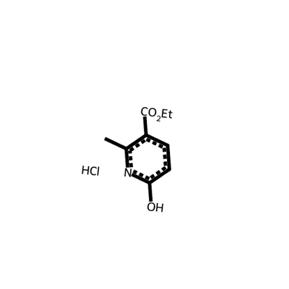 CCOC(=O)c1ccc(O)nc1C.Cl